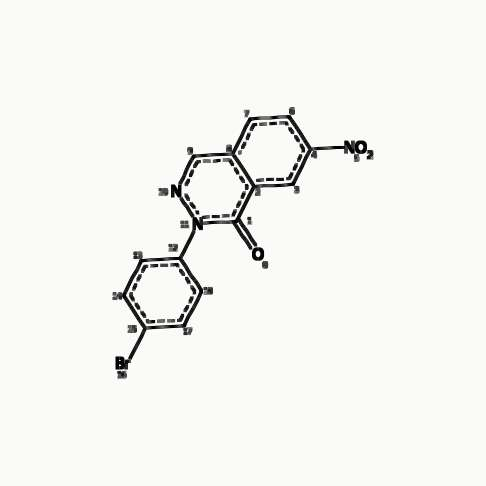 O=c1c2cc([N+](=O)[O-])ccc2cnn1-c1ccc(Br)cc1